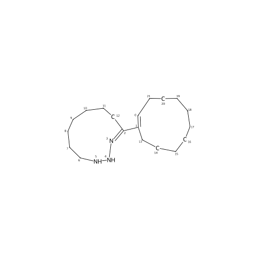 C1=C(/C2=N\NNCCCCCCC2)CCCCCCCCC/1